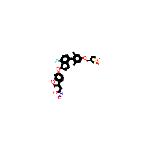 Cc1cc(OC[C@H]2CCS(=O)(=O)C2)cc(C)c1-c1ccc(F)c2c1CC[C@H]2Oc1ccc2c(c1)OCC2CC(=O)N=O